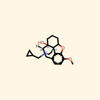 COc1ccc2c3c1OC1CCC[C@@]4(O)[C@@H](C2)N(CC2CC2)CC[C@]314